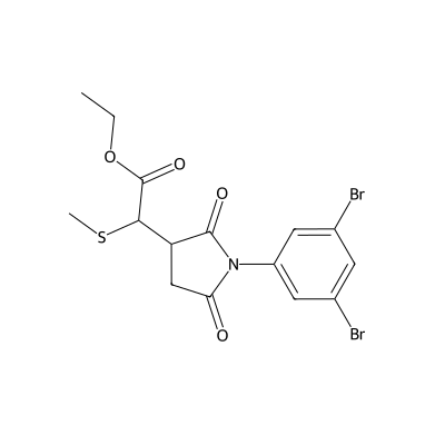 CCOC(=O)C(SC)C1CC(=O)N(c2cc(Br)cc(Br)c2)C1=O